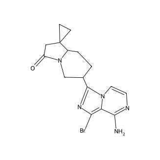 Nc1nccn2c(C3CCC4N(C3)C(=O)CC43CC3)nc(Br)c12